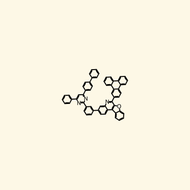 c1ccc(-c2ccc(-c3cc(-c4ccccc4)nc(-c4cccc(-c5ccc6c(c5)nc(-c5ccc7c8ccccc8c8ccccc8c7c5)c5oc7ccccc7c56)c4)n3)cc2)cc1